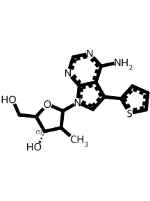 CC1C(n2cc(-c3cccs3)c3c(N)ncnc32)OC(CO)[C@H]1O